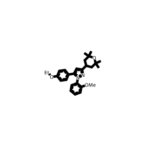 CCOc1ccc(-c2cc(C3CC(C)(C)OC(C)(C)C3)nn2-c2ccccc2OC)cc1